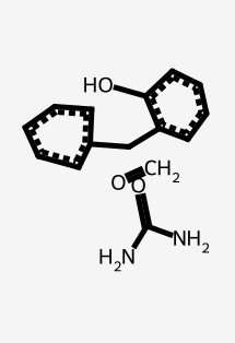 C=O.NC(N)=O.Oc1ccccc1Cc1ccccc1